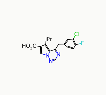 CC(C)c1c(C(=O)O)cn2ncnc(Cc3ccc(F)c(Cl)c3)c12